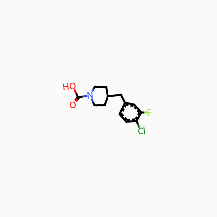 O=C(O)N1CCC(Cc2ccc(Cl)c(F)c2)CC1